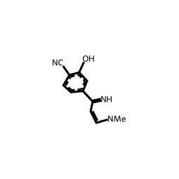 CN/C=C\C(=N)c1ccc(C#N)c(O)c1